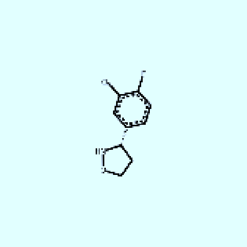 Fc1ccc([C@@H]2CCON2)cc1Cl